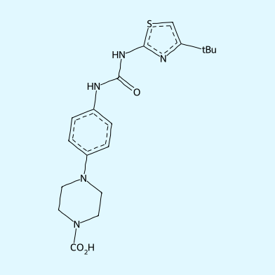 CC(C)(C)c1csc(NC(=O)Nc2ccc(N3CCN(C(=O)O)CC3)cc2)n1